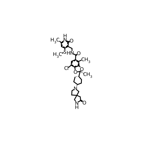 CSc1cc(C)[nH]c(=O)c1CNC(=O)c1cc(Cl)c2c(c1C)O[C@@](C)([C@H]1CC[C@@H](N3CCC4(CNC(=O)C4)C3)CC1)O2